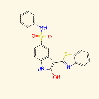 O=S(=O)(Nc1ccccc1)c1ccc2[nH]c(O)c(-c3nc4ccccc4s3)c2c1